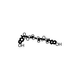 CC(C(=O)OCC(=O)OCC(=O)OCCOC(=O)COC(=O)COC(=O)C(C)c1ccc2cc(O)ccc2c1)c1ccc2cc(O)ccc2c1